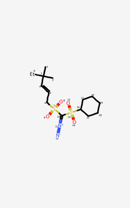 CCC(C)(C)C=CCS(=O)(=O)C(=[N+]=[N-])S(=O)(=O)C1CCCCC1